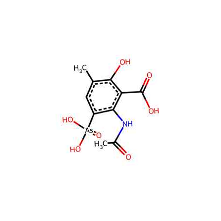 CC(=O)Nc1c([As](=O)(O)O)cc(C)c(O)c1C(=O)O